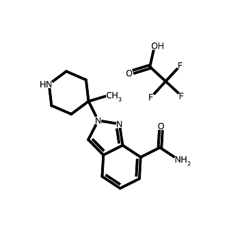 CC1(n2cc3cccc(C(N)=O)c3n2)CCNCC1.O=C(O)C(F)(F)F